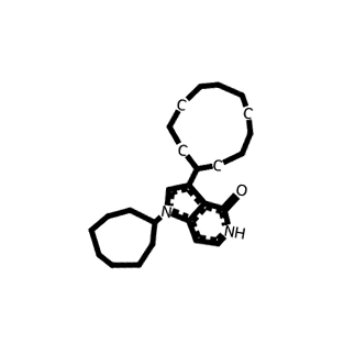 O=c1[nH]ccc2c1c(C1CCCCCCCCCC1)cn2C1CCCCCCC1